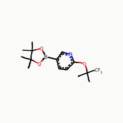 CC(C)(Oc1ccc(B2OC(C)(C)C(C)(C)O2)cn1)C(F)(F)F